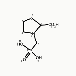 O=C(O)C1SCCN1CP(=O)(O)O